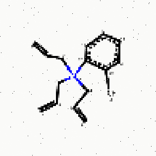 C=CC[N+](CC=C)(CC=C)c1ccccc1C(F)(F)F